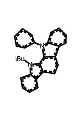 CCC(C)n1c2ccccc2c2ccc3c4ccccc4n(-c4ccccc4)c3c21